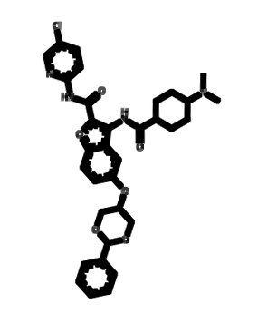 CN(C)C1CCC(C(=O)Nc2c(C(=O)Nc3ccc(Cl)cn3)oc3ccc(OC4COC(c5ccccc5)OC4)cc23)CC1